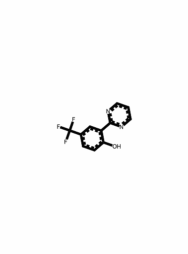 Oc1ccc(C(F)(F)F)cc1-c1ncccn1